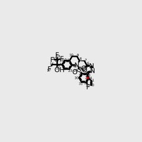 C=CCc1nnc(C[C@@H]2CCc3cc(C(O)(CF)C(F)(F)F)ccc3N2S(=O)(=O)c2ccc(F)cc2)o1